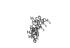 COC(=O)C(C)(C)NC(=O)C1CC[C@H]2[C@@H]3CCC4NC(=O)C=C[C@]4(C)[C@@H]3CC[C@]12C